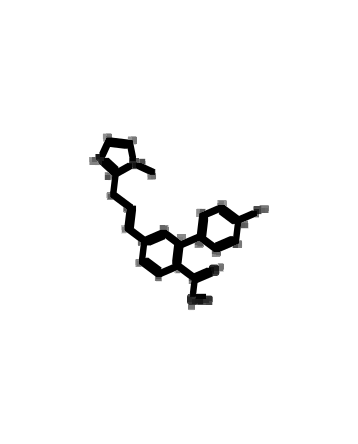 COC(=O)c1ccc(C=CCc2nccn2C)cc1-c1ccc(F)cc1